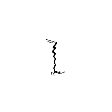 CCCCCCCCCCCCCCCCCCCCC(CC)CCCCCCCCC